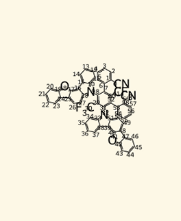 N#Cc1ccccc1-c1c(-n2c3ccccc3c3c4oc5ccccc5c4ccc32)c(C(F)(F)F)c(-n2c3ccccc3c3c4oc5ccccc5c4ccc32)c(-c2ccccc2C#N)c1C(F)(F)F